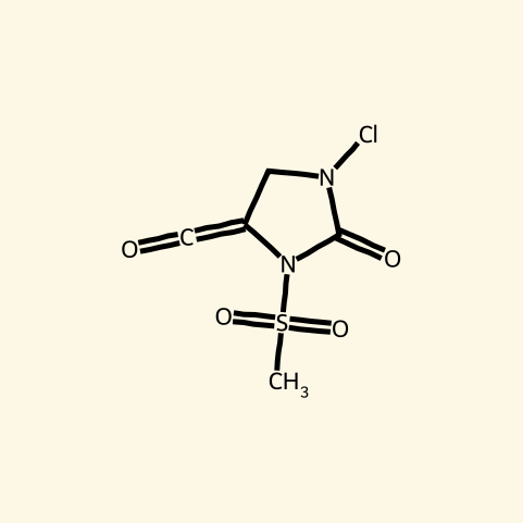 CS(=O)(=O)N1C(=O)N(Cl)CC1=C=O